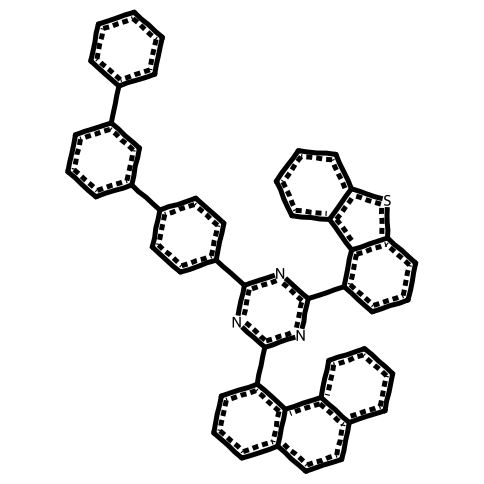 c1ccc(-c2cccc(-c3ccc(-c4nc(-c5cccc6ccc7ccccc7c56)nc(-c5cccc6sc7ccccc7c56)n4)cc3)c2)cc1